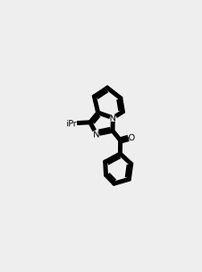 CC(C)c1nc(C(=O)c2ccccc2)n2ccccc12